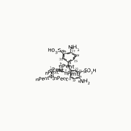 CCCCCN(CCCCC)CCCCC.CCCCCN(CCCCC)CCCCC.Nc1ccc(Cc2ccc(N)c(S(=O)(=O)O)c2)cc1S(=O)(=O)O